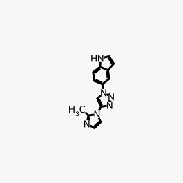 Cc1nccn1-c1cn(-c2ccc3[nH]ccc3c2)nn1